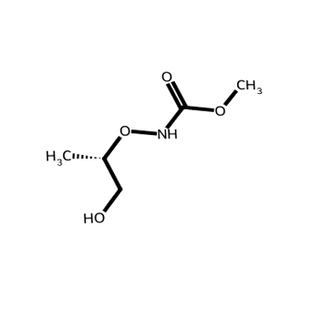 COC(=O)NO[C@@H](C)CO